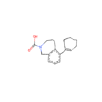 O=C(O)N1CCc2c(cccc2C2=CCCCC2)C1